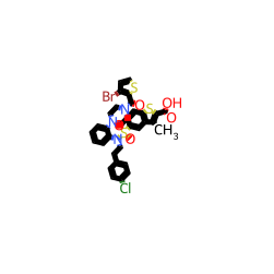 Cc1c(C(=O)O)sc2ccc(S(=O)(=O)N(CCc3ccc(Cl)cc3)c3ccccc3N3CCN(C(=O)c4sccc4Br)CC3)cc12